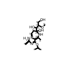 C=C(N)/N=C(/OC(C)C)C1=C(C)NC(O)(C(O)C(CO)OC)CC=N1